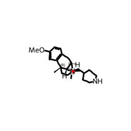 COc1ccc2c(c1)[C@@]1(C)CCN(C)[C@H](C2)[C@@H]1N(C)CC1CCNCC1